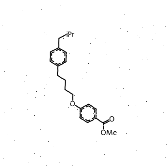 COC(=O)c1ccc(OCCCCc2ccc(CC(C)C)cc2)cc1